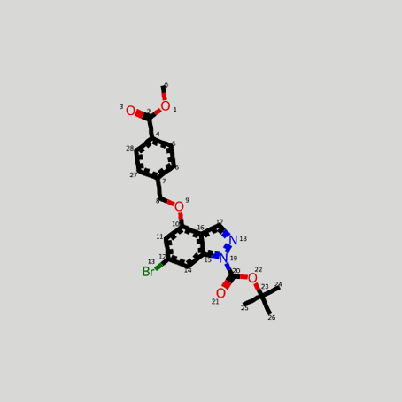 COC(=O)c1ccc(COc2cc(Br)cc3c2cnn3C(=O)OC(C)(C)C)cc1